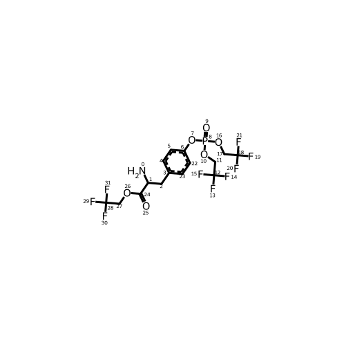 NC(Cc1ccc(OP(=O)(OCC(F)(F)F)OCC(F)(F)F)cc1)C(=O)OCC(F)(F)F